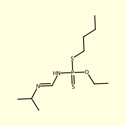 CCCCSP(=S)(NC=NC(C)C)OCC